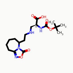 CC(C)(C)OC(=O)N[C@@H](CNCCC1CCCCc2noc(=O)n21)C(=O)O